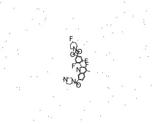 Cc1c(F)c(-c2c(F)cc(S(=O)(=O)N3CCC(F)CC3)cc2F)nc2cc(C(=O)N3CCN(C)CC3)ccc12